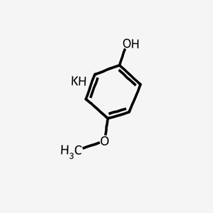 COc1ccc(O)cc1.[KH]